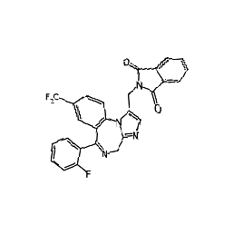 O=C1c2ccccc2C(=O)N1Cc1cnc2n1-c1ccc(C(F)(F)F)cc1C(c1ccccc1F)=NC2